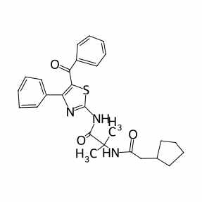 CC(C)(NC(=O)CC1CCCC1)C(=O)Nc1nc(-c2ccccc2)c(C(=O)c2ccccc2)s1